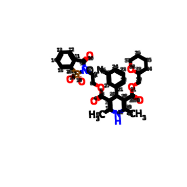 CC1=C(C(=O)OCCN2C(=O)c3ccccc3S2(=O)=O)C(c2cccc([N+](=O)[O-])c2)C(C(=O)OCC2CCCCO2)=C(C)N1